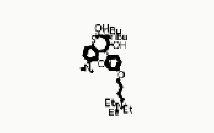 CCCCC1(CCCC)[C@H](O)[C@H](c2ccc(OCCCC[N+](CC)(CC)CC)cc2)c2c(ccc(N(C)C)c2O)S[C@@H]1O